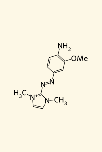 COc1cc(N=Nc2n(C)cc[n+]2C)ccc1N